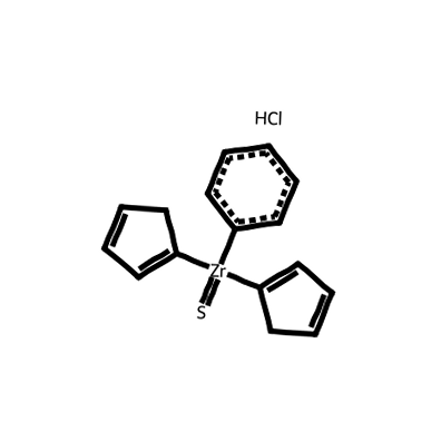 Cl.[S]=[Zr]([C]1=CC=CC1)([C]1=CC=CC1)[c]1ccccc1